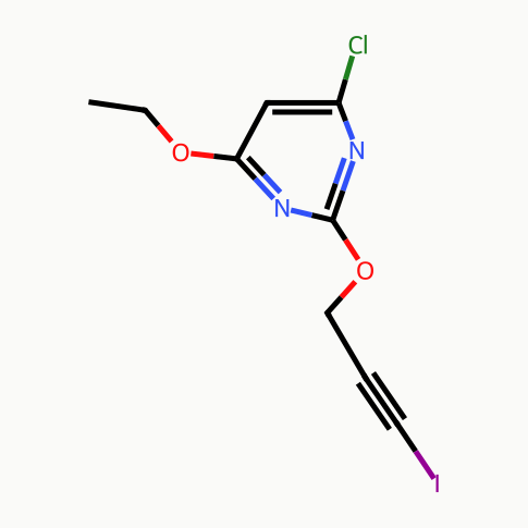 CCOc1cc(Cl)nc(OCC#CI)n1